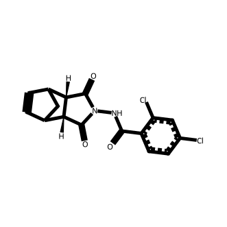 O=C(NN1C(=O)[C@@H]2C3C#CC(C3)[C@@H]2C1=O)c1ccc(Cl)cc1Cl